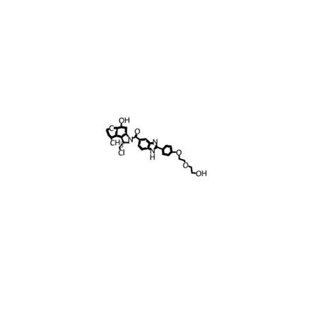 Cc1cccc2c(O)cc3c(c12)[C@H](CCl)CN3C(=O)c1ccc2[nH]c(-c3ccc(OCCOCCO)cc3)nc2c1